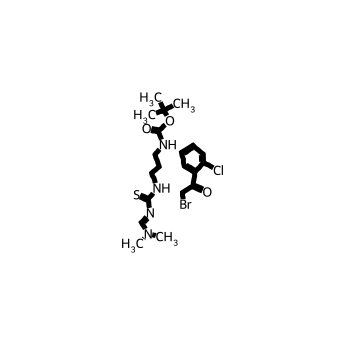 CN(C)C=NC(=S)NCCCNC(=O)OC(C)(C)C.O=C(CBr)c1ccccc1Cl